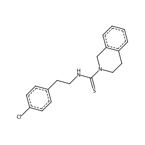 S=C(NCCc1ccc(Cl)cc1)N1CCc2ccccc2C1